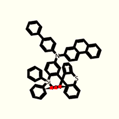 c1ccc(-c2ccc(N(c3ccc4c(c3)C3(c5ccccc5Sc5ccccc53)c3ccccc3[Si]4(c3ccccc3)c3ccccc3)c3ccc4c(ccc5ccccc54)c3)cc2)cc1